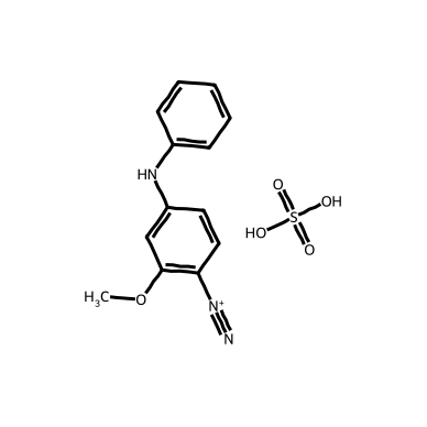 COc1cc(Nc2ccccc2)ccc1[N+]#N.O=S(=O)(O)O